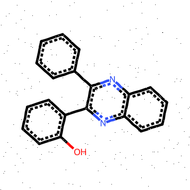 Oc1ccccc1-c1nc2ccccc2nc1-c1ccccc1